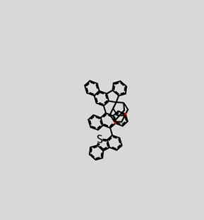 c1ccc2c(c1)-c1c(c(-c3c4ccccc4c(-c4cccc5c4sc4ccccc45)c4ccccc34)cc3ccccc13)C21C2CC3CC(C2)CC1C3